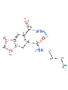 NC(=O)c1cc2c(cc1C(=O)NCCCCl)OCO2